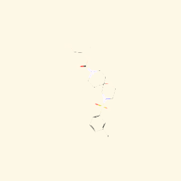 CC(C)c1cccc(S(=O)(=O)N2CCOC3(CCN(C(=O)O[C@H](CO)C(F)(F)F)CC3)C2)c1